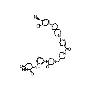 N#Cc1ccc(N2CCC3(CCN(c4ccc(C(=O)N5CCC(CN6CCN(c7cccc(NC8CCC(=O)NC8=O)c7)C(=O)C6)CC5)cc4)CC3)C2)cc1Cl